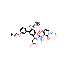 COc1cccc(-c2cc([C@H](CC(=O)[O-])NC(=O)Nc3c([O-])ccn(C)c3=O)ccc2C)c1.[Na+].[Na+]